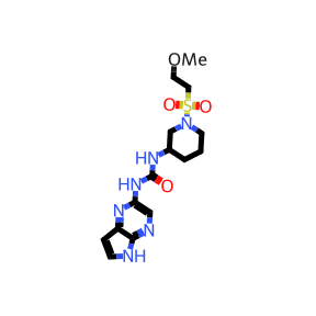 COCCS(=O)(=O)N1CCCC(NC(=O)Nc2cnc3[nH]ccc3n2)C1